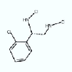 ClNC[C@@H](NCl)c1ccccc1Cl